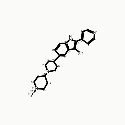 CCc1c(-c2ccncc2)[nH]c2ccc(C3CCN(C4CCN(C)CC4)CC3)cc12